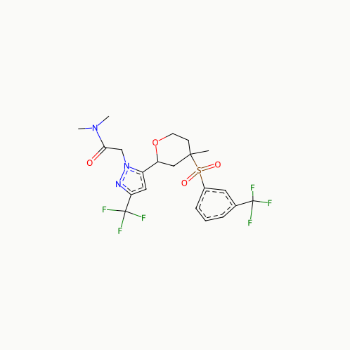 CN(C)C(=O)Cn1nc(C(F)(F)F)cc1C1CC(C)(S(=O)(=O)c2cccc(C(F)(F)F)c2)CCO1